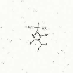 CCCCCCCC(C)(CCCC)n1nc(F)c(C(F)F)c1Br